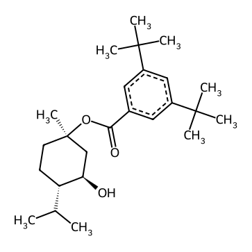 CC(C)[C@@H]1CC[C@@](C)(OC(=O)c2cc(C(C)(C)C)cc(C(C)(C)C)c2)C[C@H]1O